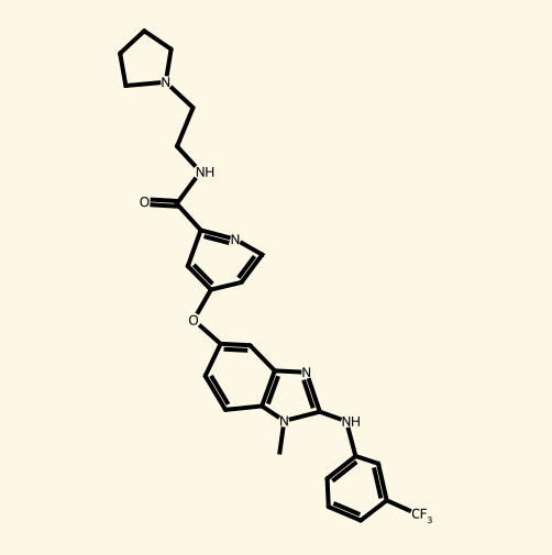 Cn1c(Nc2cccc(C(F)(F)F)c2)nc2cc(Oc3ccnc(C(=O)NCCN4CCCC4)c3)ccc21